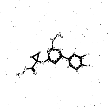 COC(=O)C1(Oc2cc(-c3ccc(Cl)c(F)c3)nc(SC)n2)CC1